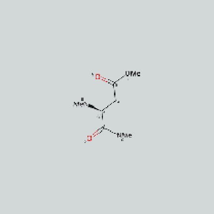 CNC(=O)[C@H](CC(=O)OC)NC